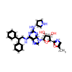 Cc1cnc([C@H]2O[C@@H](n3cnc4c(NCC(c5ccccc5)c5ccccc5)nc(N[C@@H]5CCNC5)nc43)[C@H](O)[C@@H]2O)o1